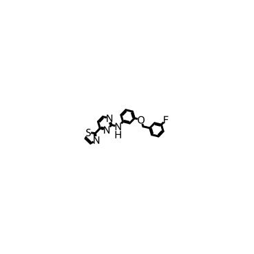 Fc1cccc(COc2cccc(Nc3nccc(-c4nccs4)n3)c2)c1